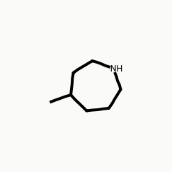 CC1CCCNCC1